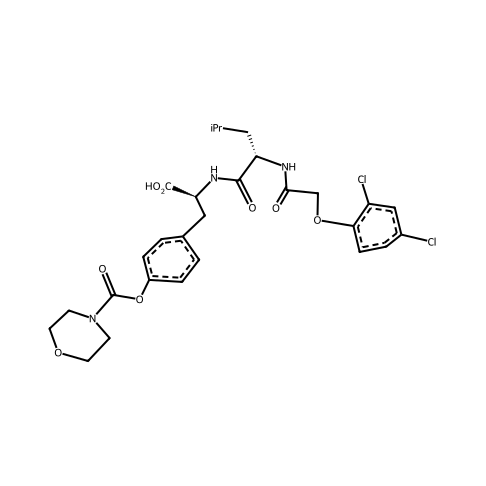 CC(C)C[C@H](NC(=O)COc1ccc(Cl)cc1Cl)C(=O)N[C@@H](Cc1ccc(OC(=O)N2CCOCC2)cc1)C(=O)O